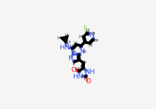 O=C1NC(=O)/C(=C\c2cnn3c(NC4CC4)cc(-c4ccnc(F)c4)nc23)N1